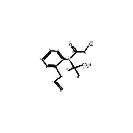 C=CCc1ccccc1N(C(=O)CC(C)=O)C(C)(C)C(=O)O